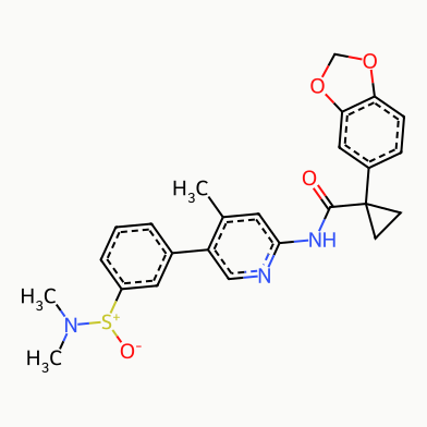 Cc1cc(NC(=O)C2(c3ccc4c(c3)OCO4)CC2)ncc1-c1cccc([S+]([O-])N(C)C)c1